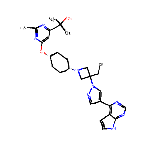 CC(C)(O)c1cc(O[C@H]2CC[C@@H](N3CC(CC#N)(n4cc(-c5ncnc6[nH]ccc56)cn4)C3)CC2)nc(C(F)(F)F)n1